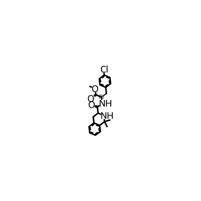 COC(=O)[C@@H](Cc1ccc(Cl)cc1)NC(=O)C1Cc2ccccc2C(C)(C)N1